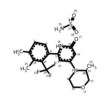 Cc1ccc(-c2cc(N3CCOC[C@H]3C)cc(=O)[nH]2)c(C(F)(F)F)c1C.N[SH](=O)=O